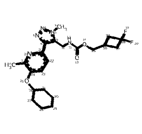 Cc1nc(-c2nnn(C)c2CNC(=O)OCC2CC(F)(F)C2)ccc1OC1CCCCC1